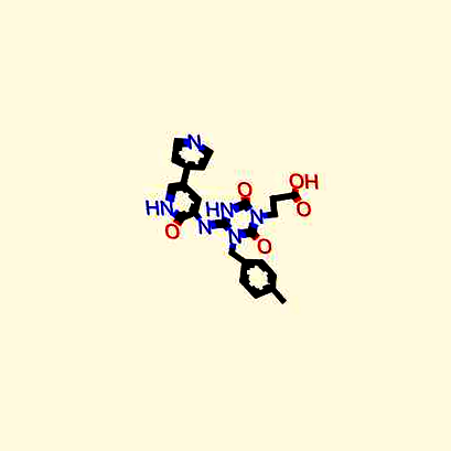 Cc1ccc(Cn2c(=O)n(CCC(=O)O)c(=O)[nH]/c2=N\c2cc(-c3ccncc3)c[nH]c2=O)cc1